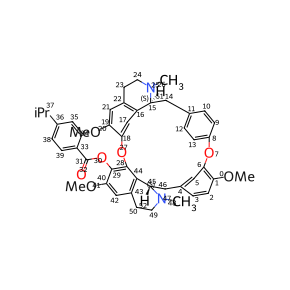 COc1ccc2cc1Oc1ccc(cc1)C[C@H]1c3cc(c(OC)cc3CCN1C)Oc1c(OC(=O)c3ccc(C(C)C)cc3)c(OC)cc3c1[C@H](C2)N(C)CC3